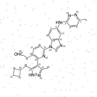 Cc1ccc(Nc2ccc3c(c2)ncn3-c2ccc(CC=O)c(-c3c(C)n[nH]c3CC3CCC3)n2)nn1